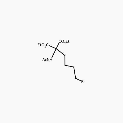 CCOC(=O)C(CCCCBr)(NC(C)=O)C(=O)OCC